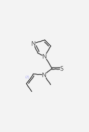 C/C=C\N(C)C(=S)n1ccnc1